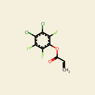 C=CC(=O)Oc1c(F)c(F)c(Cl)c(Cl)c1F